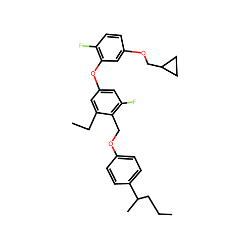 CCCC(C)c1ccc(OCc2c(F)cc(Oc3cc(OCC4CC4)ccc3F)cc2CC)cc1